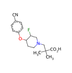 CC(C)(CN1CCC(Oc2ccc(C#N)cc2)C(F)C1)C(=O)O